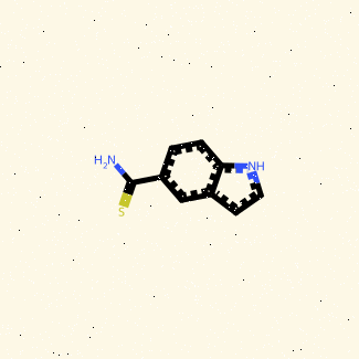 NC(=S)c1ccc2[nH]ccc2c1